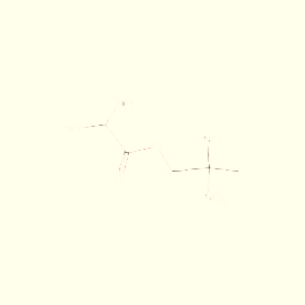 CCCC(CCC)C(=O)OCC(C)([N+](=O)[O-])[N+](=O)[O-]